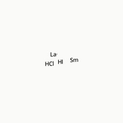 Cl.I.[La].[Sm]